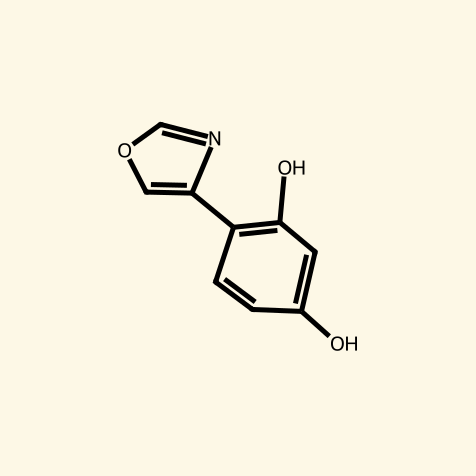 Oc1ccc(-c2cocn2)c(O)c1